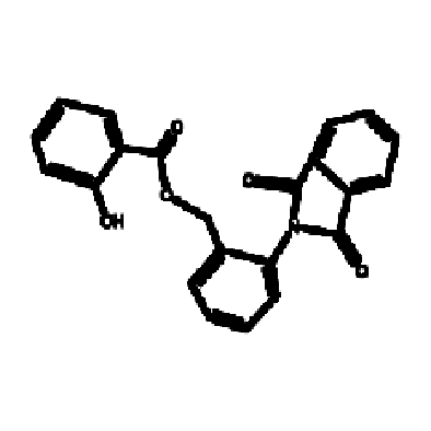 O=C(OCc1ccccc1N1C(=O)c2ccccc2C1=O)c1ccccc1O